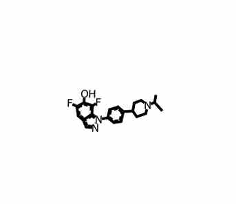 CC(C)N1CCC(c2ccc(-n3ncc4cc(F)c(O)c(F)c43)cc2)CC1